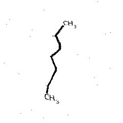 C[CH]CCC[CH]C